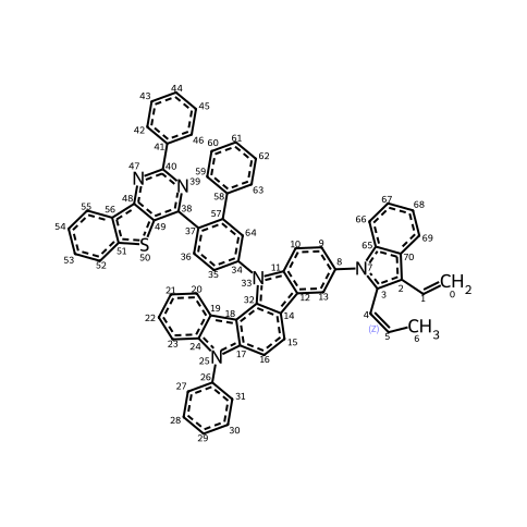 C=Cc1c(/C=C\C)n(-c2ccc3c(c2)c2ccc4c(c5ccccc5n4-c4ccccc4)c2n3-c2ccc(-c3nc(-c4ccccc4)nc4c3sc3ccccc34)c(-c3ccccc3)c2)c2ccccc12